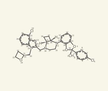 C[C@]1(c2ccc(Cl)cn2)Oc2cccc(N3CCN(Cc4nc5c(Cl)cccc5n4C[C@@H]4CCO4)[C@@H]4CC[C@@H]43)c2O1